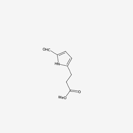 COC(=O)CCc1ccc(C=O)[nH]1